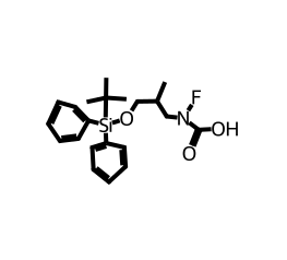 CC(CO[Si](c1ccccc1)(c1ccccc1)C(C)(C)C)CN(F)C(=O)O